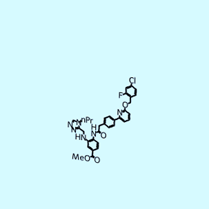 CCCn1cnnc1CNc1cc(C(=O)OC)ccc1NC(=O)Cc1ccc(-c2cccc(OCc3ccc(Cl)cc3F)n2)cc1